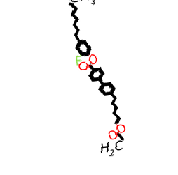 C=CC(=O)OCCCCCCc1ccc(-c2ccc(C(=O)Oc3ccc(CCCCCCCC)cc3F)cc2)cc1